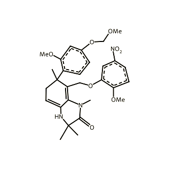 COCOc1ccc(C2(C)CC=C3NC(C)(C)C(=O)N(C)C3=C2COc2cc([N+](=O)[O-])ccc2OC)c(OC)c1